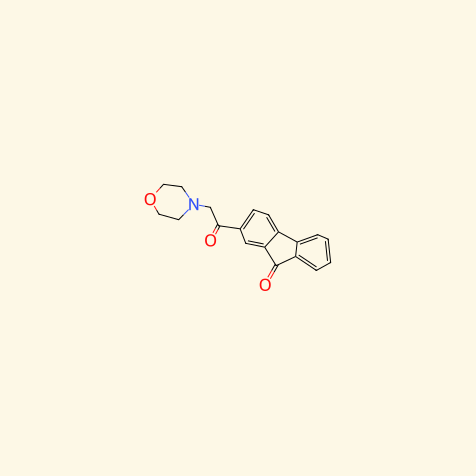 O=C(CN1CCOCC1)c1ccc2c(c1)C(=O)c1ccccc1-2